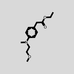 CCOC(=O)Cc1ccc(N(C)CCOC)cc1